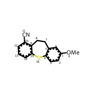 COc1ccc2c(c1)CCc1c(C#N)cccc1S2